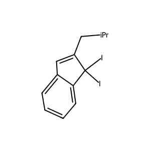 CC(C)CC1=Cc2ccccc2C1(I)I